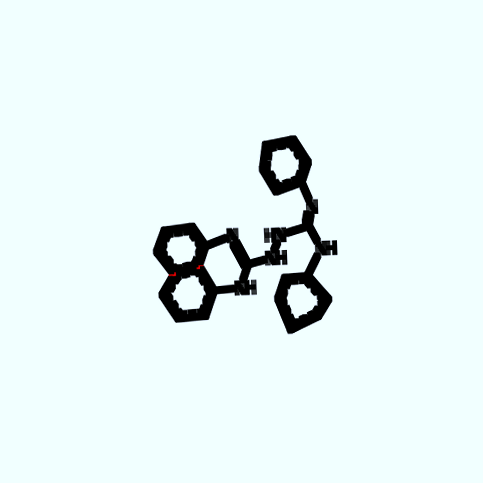 c1ccc(N=C(NNC(=Nc2ccccc2)Nc2ccccc2)Nc2ccccc2)cc1